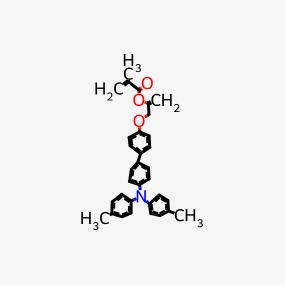 C=C(COc1ccc(-c2ccc(N(c3ccc(C)cc3)c3ccc(C)cc3)cc2)cc1)OC(=O)C(=C)C